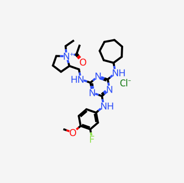 CC[N+]1(C(C)=O)CCCC1CNc1nc(Nc2ccc(OC)c(F)c2)nc(NC2CCCCCC2)n1.[Cl-]